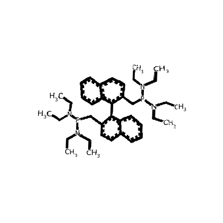 CCN(CC)P(Cc1ccc2ccccc2c1-c1c(CP(N(CC)CC)N(CC)CC)ccc2ccccc12)N(CC)CC